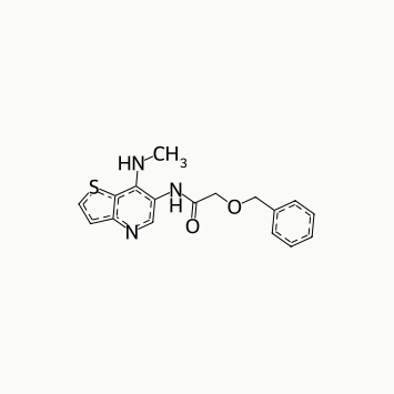 CNc1c(NC(=O)COCc2ccccc2)cnc2ccsc12